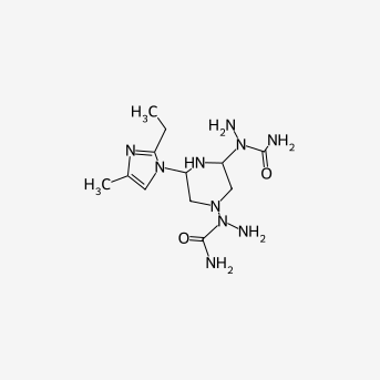 CCc1nc(C)cn1C1CN(N(N)C(N)=O)CC(N(N)C(N)=O)N1